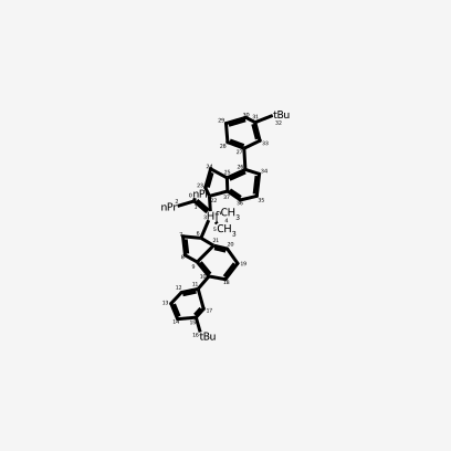 CCC[C](CCC)=[Hf]([CH3])([CH3])([CH]1C=Cc2c(-c3cccc(C(C)(C)C)c3)cccc21)[CH]1C=Cc2c(-c3cccc(C(C)(C)C)c3)cccc21